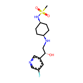 CS(=O)(=O)N[C@H]1CC[C@@H](NC[C@H](O)c2cncc(F)c2)CC1